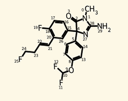 CN1C(=O)C(c2ccc(OC(F)F)cc2)(c2ccc(F)c(C=CCCF)c2)N=C1N